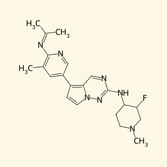 CC(C)=Nc1ncc(-c2ccn3nc(NC4CCN(C)CC4F)ncc23)cc1C